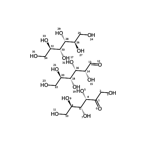 O=C(CO)[C@@H](O)[C@H](O)[C@H](O)CO.O=C[C@H](O)[C@@H](O)[C@H](O)[C@H](O)CO.OC[C@@H](O)[C@@H](O)[C@H](O)[C@H](O)CO